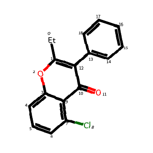 CCc1oc2cccc(Cl)c2c(=O)c1-c1ccccc1